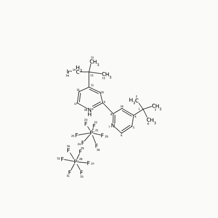 CC(C)(C)c1ccnc(-c2cc(C(C)(C)C)cc[nH+]2)c1.F[P-](F)(F)(F)(F)F.F[P-](F)(F)(F)(F)F.[Ir+]